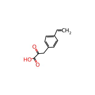 C=Cc1ccc(CC(=O)C(=O)O)cc1